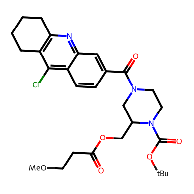 COCCC(=O)OCC1CN(C(=O)c2ccc3c(Cl)c4c(nc3c2)CCCC4)CCN1C(=O)OC(C)(C)C